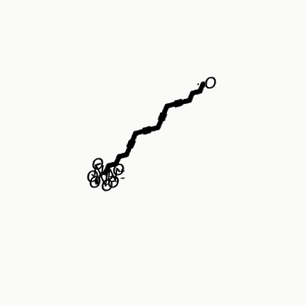 O=[C]CCCC#CCC#CCC#CCC#CCCCCC([N+](=O)[O-])([N+](=O)[O-])[N+](=O)[O-]